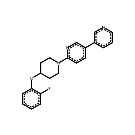 Fc1ccccc1OC1CCN(c2ccc(-c3cccnc3)cn2)CC1